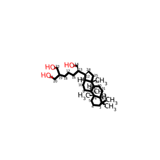 CC1(C)CCC[C@]2(C)[C@H]3CC[C@H]4[C@@H]([C@H](CO)CCCC(CO)CO)CC[C@]4(C)[C@@]3(C)CC[C@@H]12